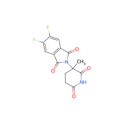 CC1(N2C(=O)c3cc(F)c(F)cc3C2=O)CCC(=O)NC1=O